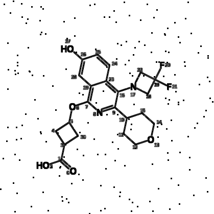 O=C(O)C1CC(Oc2nc(C3CCOCC3)c(N3CC(F)(F)C3)c3ccc(O)cc23)C1